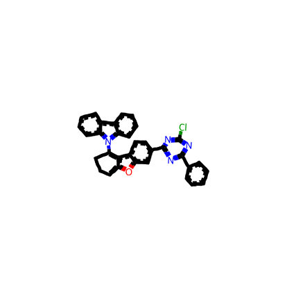 Clc1nc(-c2ccccc2)nc(-c2ccc3c4c(oc3c2)=CCCC=4n2c3ccccc3c3ccccc32)n1